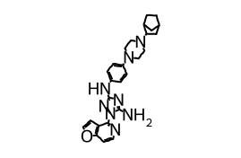 Nc1nc(Nc2ccc(N3CCN(C4CC5CCC4C5)CC3)cc2)nn1-c1nccc2occc12